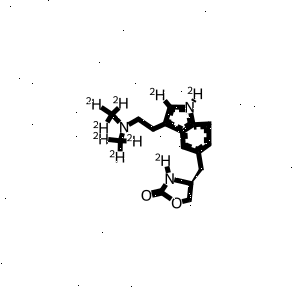 [2H]c1c(CCN(C([2H])([2H])[2H])C([2H])([2H])[2H])c2cc(C[C@H]3COC(=O)N3[2H])ccc2n1[2H]